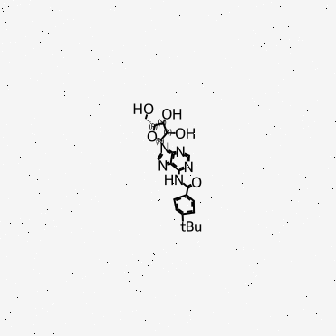 CC(C)(C)c1ccc(C(=O)Nc2ncnc3c2ncn3[C@@H]2O[C@H](CO)[C@@H](O)[C@H]2O)cc1